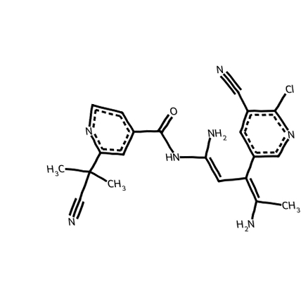 C/C(N)=C(/C=C(\N)NC(=O)c1ccnc(C(C)(C)C#N)c1)c1cnc(Cl)c(C#N)c1